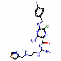 N/C(=N\C(=O)c1nc(Cl)c(NCc2ccc(I)cc2)nc1N)NCCNCc1cscn1